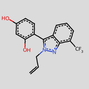 C=CCn1nc2c(C(F)(F)F)cccc2c1-c1ccc(O)cc1O